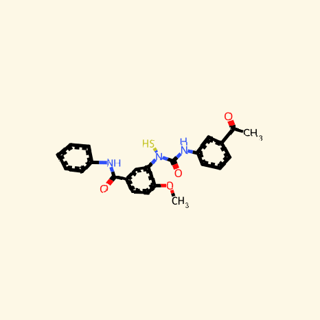 COc1ccc(C(=O)Nc2ccccc2)cc1N(S)C(=O)Nc1cccc(C(C)=O)c1